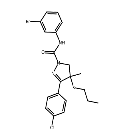 CCCSC1(C)CN(C(=O)Nc2cccc(Br)c2)N=C1c1ccc(Cl)cc1